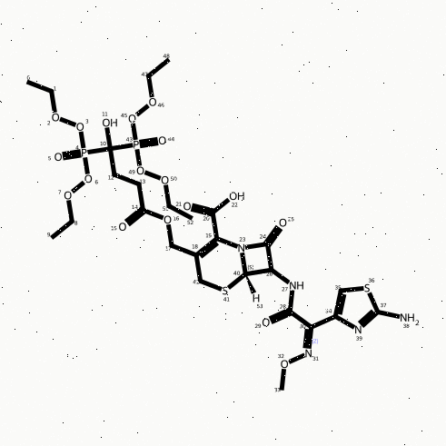 CCOOP(=O)(OOCC)C(O)(CCC(=O)OCC1=C(C(=O)O)N2C(=O)C(NC(=O)/C(=N\OC)c3csc(N)n3)[C@@H]2SC1)P(=O)(OOCC)OOCC